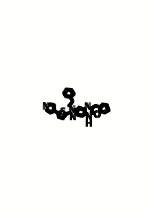 O=c1[nH]c2cc3nc(-c4ccc(-c5ccncc5)s4)n(CCc4ccccc4)c3cc2nc1Cc1ccccc1